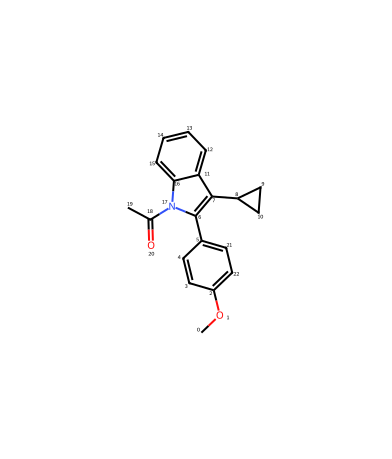 COc1ccc(-c2c(C3CC3)c3ccccc3n2C(C)=O)cc1